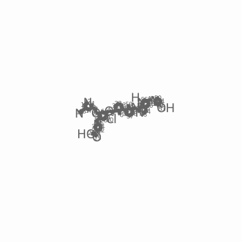 Cc1c(COc2cc(OCc3cncc(C#N)c3)c(CN3CC[C@@H](C(=O)O)C3)cc2Cl)cccc1-c1cccc(Nc2nccc3cc(CN4CC[C@@H](O)C4)cnc23)c1C